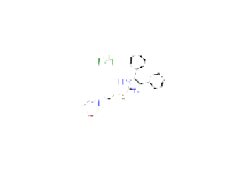 Cl.Cl.c1ccc(-c2nc(SCCCN3CCOCC3)[nH]c2-c2ccccc2)cc1